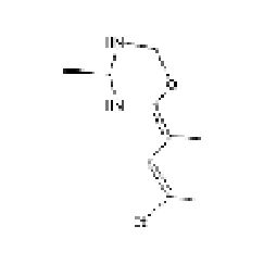 CC/C(C)=C/C(C)=C1\N[C@@H](C)NCO1